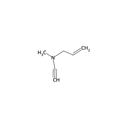 C#CN(C)CC=C